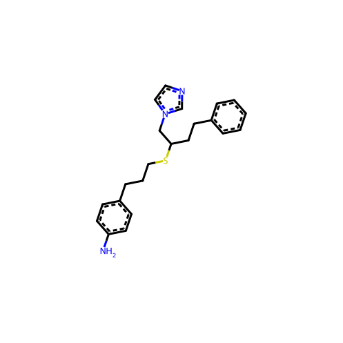 Nc1ccc(CCCSC(CCc2ccccc2)Cn2ccnc2)cc1